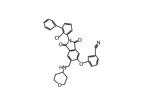 N#Cc1cccc(Oc2cc3c(cc2CNC2CCOCC2)C(=O)N(c2cccc(-c4ccccc4)c2Cl)C3=O)c1